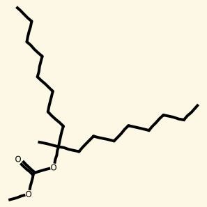 CCCCCCCCC(C)(CCCCCCCC)OC(=O)OC